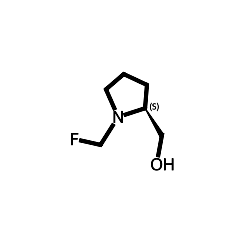 OC[C@@H]1CCCN1CF